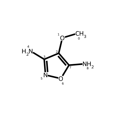 COc1c(N)noc1N